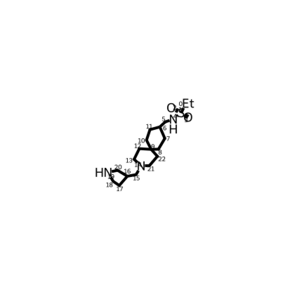 CCS(=O)(=O)NCC1CCC2(CC1)CCN(CC1CCNC1)CC2